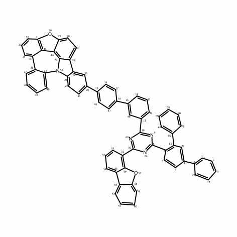 c1ccc(-c2ccc(-c3nc(-c4cccc(-c5ccc(-c6ccc7c(c6)c6ccc8oc9cccc%10c%11ccccc%11n7c6c8c9%10)cc5)c4)nc(-c4cccc5c4oc4ccccc45)n3)c(-c3ccccc3)c2)cc1